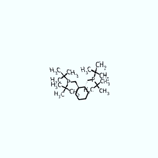 CC(C)(C)P(C[C@@H]1CCCC[C@H]1CP(C(C)(C)C)C(C)(C)C)C(C)(C)C